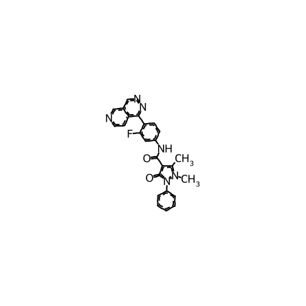 Cc1c(C(=O)Nc2ccc(-c3nncc4cnccc34)c(F)c2)c(=O)n(-c2ccccc2)n1C